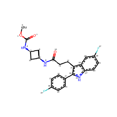 CC(C)(C)OC(=O)N[C@H]1C[C@@H](NC(=O)CCc2c(-c3ccc(F)cc3)[nH]c3ccc(F)cc23)C1